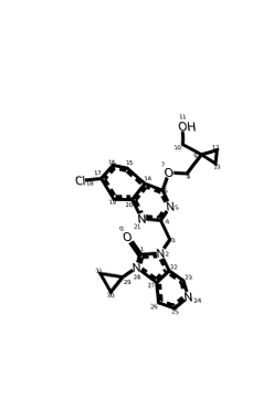 O=c1n(Cc2nc(OCC3(CO)CC3)c3ccc(Cl)cc3n2)c2cnccc2n1C1CC1